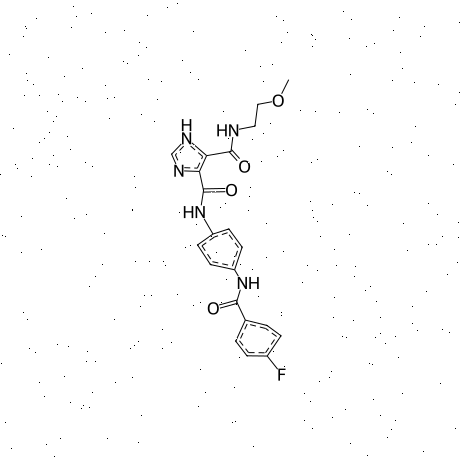 COCCNC(=O)c1[nH]cnc1C(=O)Nc1ccc(NC(=O)c2ccc(F)cc2)cc1